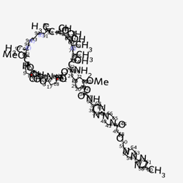 CO[C@H]1C[C@@H]2CC[C@@H](C)[C@@](O)(O2)C(=O)C(=O)N2CCCC[C@H]2C(=O)OC([C@H](N)C[C@@H]2CC[C@@H](OC(=O)NCc3cnc(N4CCN(C(=O)CCOCCN5CCN(c6ncc(C)cn6)CC5)CC4)nc3)[C@H](OC)C2)C[C@@H](O)[C@H](C)/C=C(\C)[C@@H](O)[C@@H](O)C(=O)[C@H](C)C[C@H](C)/C=C/C=C/C=C/1C